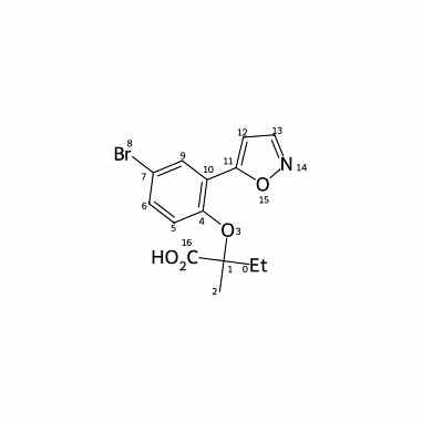 CCC(C)(Oc1ccc(Br)cc1-c1ccno1)C(=O)O